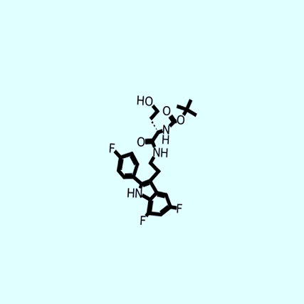 CC(C)(C)OC(=O)N[C@@H](CCO)C(=O)NCCc1c(-c2ccc(F)cc2)[nH]c2c(F)cc(F)cc12